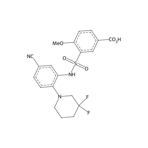 COc1ccc(C(=O)O)cc1S(=O)(=O)Nc1cc(C#N)ccc1N1CCCC(F)(F)C1